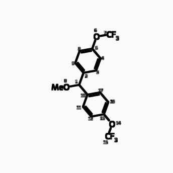 COC(c1ccc(OC(F)(F)F)cc1)c1ccc(OC(F)(F)F)cc1